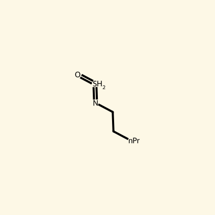 CCCCCN=[SH2]=O